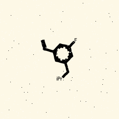 C=[C]c1cc(F)cc(CC(C)C)c1